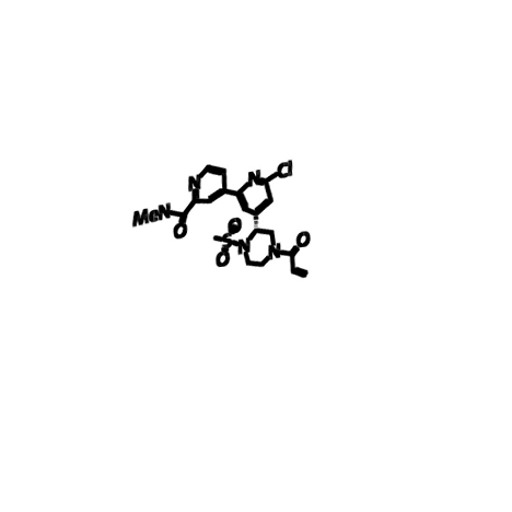 C=CC(=O)N1CCN(S(C)(=O)=O)[C@H](c2cc(Cl)nc(-c3ccnc(C(=O)NC)c3)c2)C1